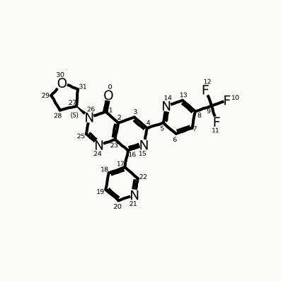 O=c1c2cc(-c3ccc(C(F)(F)F)cn3)nc(-c3cccnc3)c2ncn1[C@H]1CCOC1